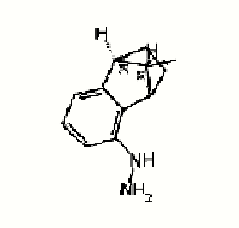 C[C@@H]1C2CC[C@@H]1c1cccc(NN)c12